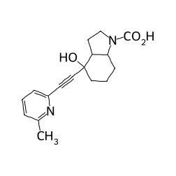 Cc1cccc(C#CC2(O)CCCC3C2CCN3C(=O)O)n1